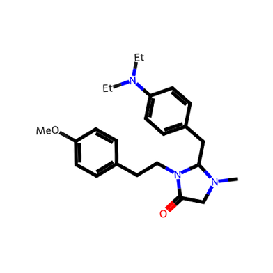 CCN(CC)c1ccc(CC2N(C)CC(=O)N2CCc2ccc(OC)cc2)cc1